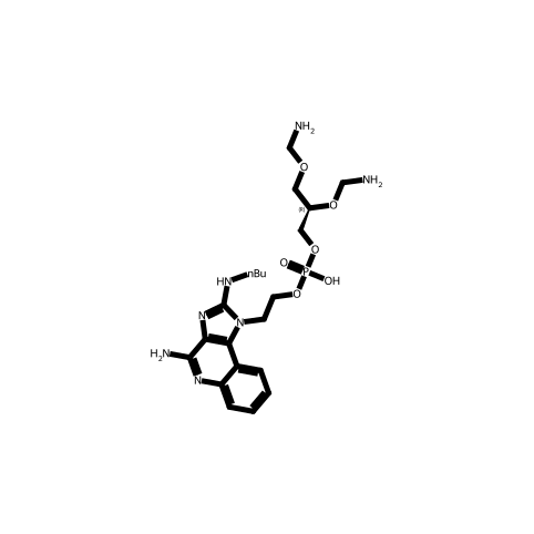 CCCCNc1nc2c(N)nc3ccccc3c2n1CCOP(=O)(O)OC[C@@H](COCN)OCN